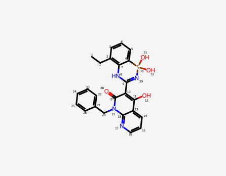 CCc1cccc2c1NC(c1c(O)c3cccnc3n(Cc3ccccc3)c1=O)=NS2(O)O